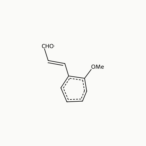 COc1ccccc1/C=C/[C]=O